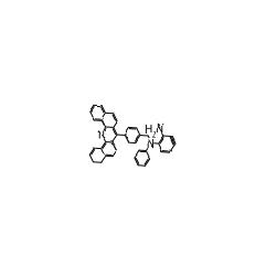 Nc1c#cccc1N(Cc1ccc(-c2c3ccc4c(c3nc3c2ccc2ccccc23)C=CCC4)cc1)c1ccccc1